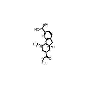 CCCC(O)c1ccc2c(n1)N1[C@H](C2)CN(C(=O)OC(C)(C)C)C[C@H]1C